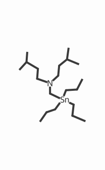 CC[CH2][Sn]([CH2]CC)([CH2]CC)[CH2]N(CCC(C)C)CCC(C)C